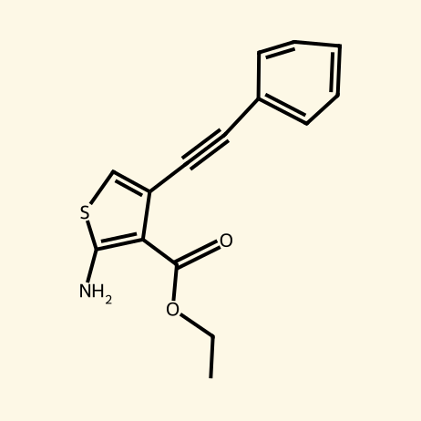 CCOC(=O)c1c(C#Cc2ccccc2)csc1N